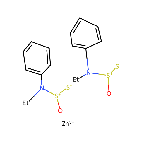 CCN(c1ccccc1)[S+]([O-])[S-].CCN(c1ccccc1)[S+]([O-])[S-].[Zn+2]